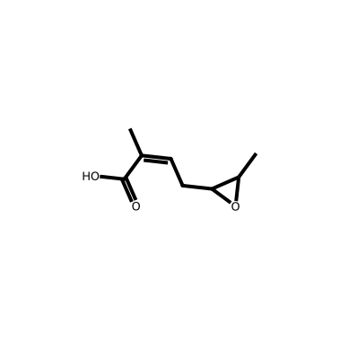 CC(=CCC1OC1C)C(=O)O